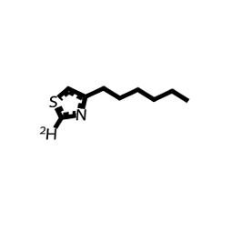 [2H]c1nc(CCCCCC)cs1